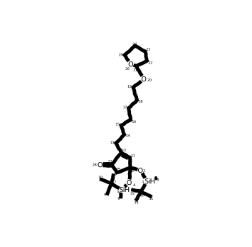 C[SiH](OC1(O[SiH](C)C(C)(C)C)C=C(CCCCCCCOC2CCCCO2)C(=O)C1)C(C)(C)C